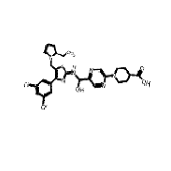 CC[C@@H]1CCCN1Cc1sc(NC(O)c2cnc(N3CCC(C(=O)O)CC3)cn2)nc1-c1cc(Cl)cc(Cl)c1